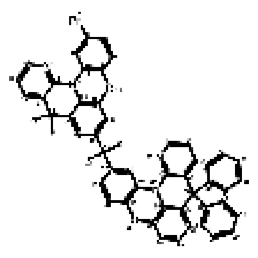 CC(C)c1ccc2c(c1)N1c3ncccc3C(C)(C)c3cc(C(C)(C)c4ccc5c(c4)N4c6ncccc6C(c6ccccc6)(c6ccccc6)c6cccc(c64)O5)cc(c31)O2